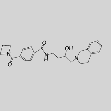 O=C(NCCC(O)CN1CCc2ccccc2C1)c1ccc(C(=O)N2CCC2)cc1